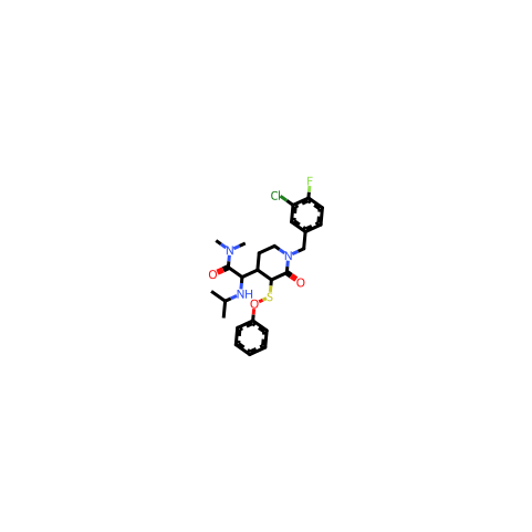 CC(C)NC(C(=O)N(C)C)C1CCN(Cc2ccc(F)c(Cl)c2)C(=O)C1SOc1ccccc1